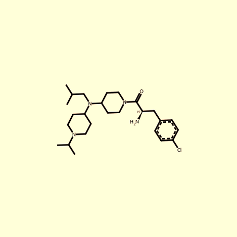 CC(C)CN(C1CCN(C(=O)[C@H](N)Cc2ccc(Cl)cc2)CC1)C1CCN(C(C)C)CC1